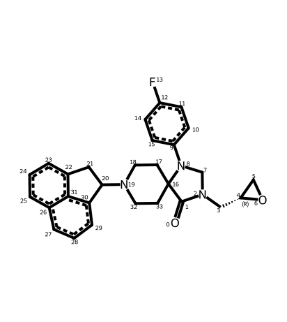 O=C1N(C[C@@H]2CO2)CN(c2ccc(F)cc2)C12CCN(C1Cc3cccc4cccc1c34)CC2